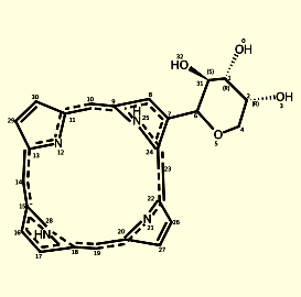 O[C@@H]1[C@H](O)COC(c2cc3cc4nc(cc5ccc(cc6nc(cc2[nH]3)C=C6)[nH]5)C=C4)[C@H]1O